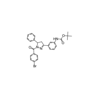 CC(C)(C)OC(=O)Nc1cccc(C2=NN(C(=O)c3ccc(Br)cc3)C(c3ccccc3)C2)c1